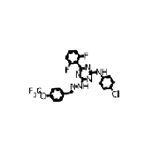 Fc1cccc(F)c1-c1nc(NN=Cc2ccc(OC(F)(F)F)cc2)nc(Nc2ccc(Cl)cc2)n1